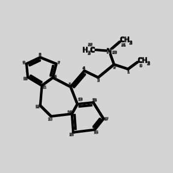 CCC(CC=C1c2ccccc2CCc2ccccc21)N(C)C